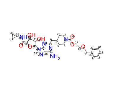 Nc1nc(CC2CCN(C(=O)OCCOCc3ccccc3)CC2)nc2c1ncn2[C@@H]1O[C@H](C(=O)NC2CC2)[C@H](O)C1O